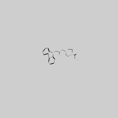 O=C(O)N1CCN(CC(O)Cn2c3ccccc3c3ccccc32)CC1